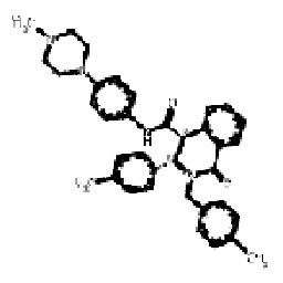 Cc1ccc(CN2C(=O)c3ccccc3[C@H](C(=O)Nc3ccc(N4CCN(C)CC4)cc3)[C@H]2c2ccc(C(F)(F)F)cc2)cc1